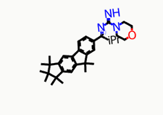 CC(C)/C(=N\C(=N)N1CCOCC1)c1ccc2c(c1)C(C)(C)c1cc3c(cc1-2)C(C)(C)C(C)(C)C3(C)C